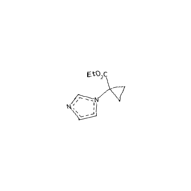 CCOC(=O)C1(n2ccnc2)CC1